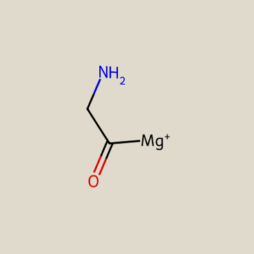 NC[C](=O)[Mg+]